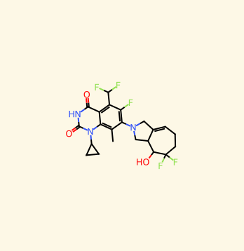 Cc1c(N2CC3=CCCC(F)(F)C(O)C3C2)c(F)c(C(F)F)c2c(=O)[nH]c(=O)n(C3CC3)c12